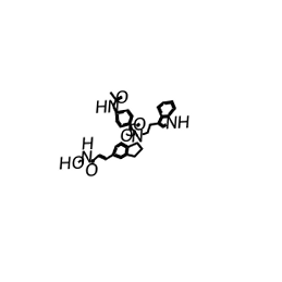 CC(=O)Nc1ccc(S(=O)(=O)N(CCc2c[nH]c3ccccc23)C2CCc3cc(/C=C/C(=O)NO)ccc32)cc1